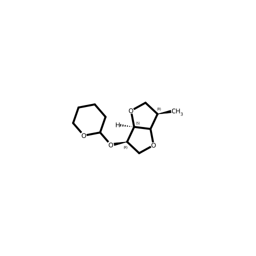 C[C@@H]1CO[C@H]2C1OC[C@H]2OC1CCCCO1